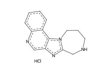 Cl.c1ccc2c(c1)ncc1nc3n(c12)CCCNC3